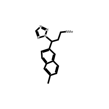 CNCCC(c1ccc2cc(C)ccc2c1)n1ncnn1